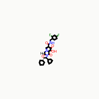 O=C(NCc1ccc(F)cc1F)c1cn2c(c(O)c1=O)C(=O)N1C(c3ccccc3)[C@H](c3ccccc3)O[C@@H]1C2